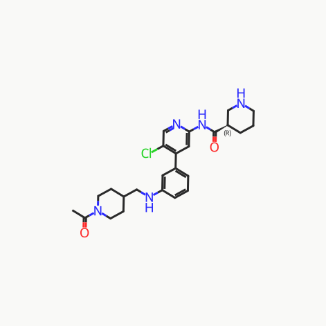 CC(=O)N1CCC(CNc2cccc(-c3cc(NC(=O)[C@@H]4CCCNC4)ncc3Cl)c2)CC1